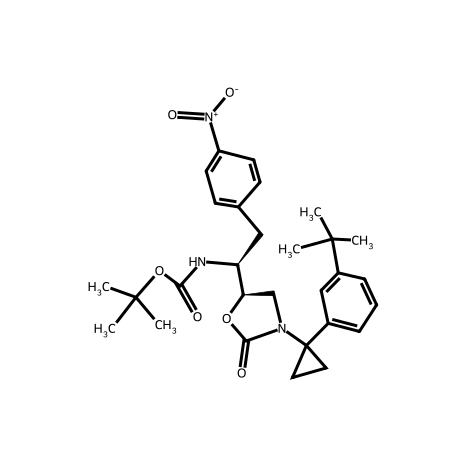 CC(C)(C)OC(=O)N[C@@H](Cc1ccc([N+](=O)[O-])cc1)[C@H]1CN(C2(c3cccc(C(C)(C)C)c3)CC2)C(=O)O1